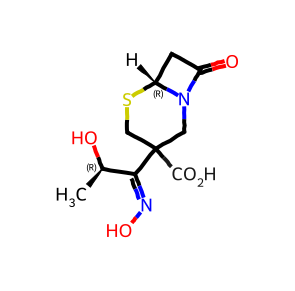 C[C@@H](O)C(=NO)C1(C(=O)O)CS[C@@H]2CC(=O)N2C1